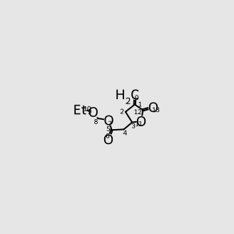 C=C1CC(CC(=O)OCOCC)OC1=O